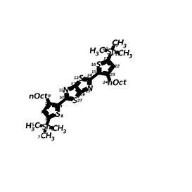 CCCCCCCCc1c[c]([Sn]([CH3])([CH3])[CH3])sc1-c1nc2sc(-c3s[c]([Sn]([CH3])([CH3])[CH3])cc3CCCCCCCC)nc2s1